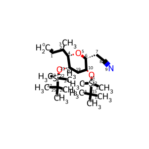 C=C[C@H](C)[C@@H]1O[C@H](CC#N)[C@H](O[Si](C)(C)C(C)(C)C)C[C@@H]1O[Si](C)(C)C(C)(C)C